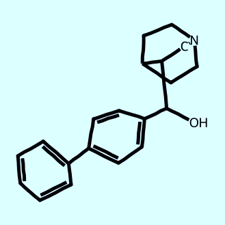 OC(c1ccc(-c2ccccc2)cc1)C1CN2CCC1CC2